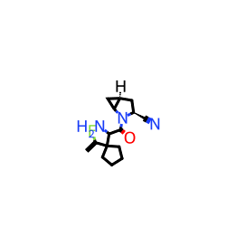 C=C(F)C1(C(N)C(=O)N2C3C[C@H]3C[C@H]2C#N)CCCC1